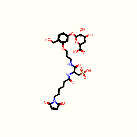 O=C(CCCCCN1C(=O)C=CC1=O)NC(CS(=O)(=O)O)C(=O)NCCCOc1cc(OC2OC(C(=O)O)CC(O)[C@H]2O)ccc1CO